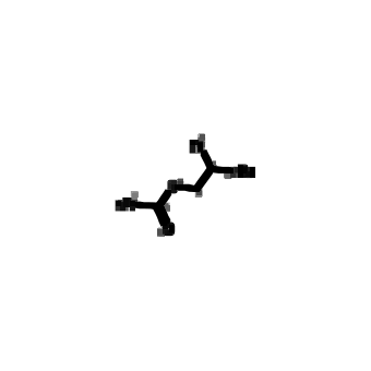 CCCCC(CC)CSC(=O)CCC